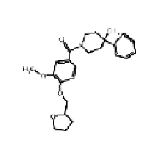 COc1cc(C(=O)N2CCC(C)(c3ccccc3)CC2)ccc1OCC1CCCO1